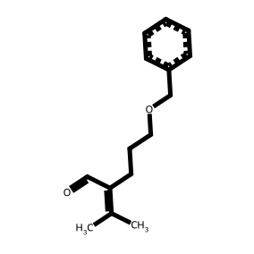 CC(C)=C(C=O)CCCOCc1ccccc1